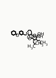 CCCC(C(=O)NO)[C@@H](CC(C)C)C(=O)N[C@H]1CCCCN(Cc2cccc(Oc3ccccc3)c2)C1=O